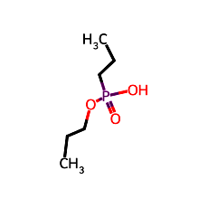 CCCOP(=O)(O)CCC